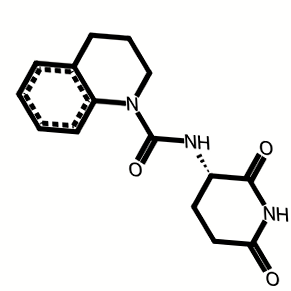 O=C1CC[C@H](NC(=O)N2CCCc3ccccc32)C(=O)N1